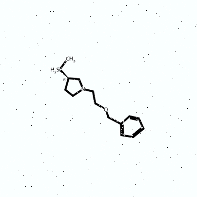 C[SiH2][C@@H]1CCN(CCOCc2ccccc2)C1